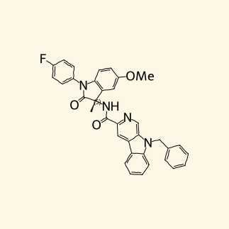 COc1ccc2c(c1)[C@](C)(NC(=O)c1cc3c4ccccc4n(Cc4ccccc4)c3cn1)C(=O)N2c1ccc(F)cc1